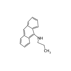 CCCNc1c2ccccc2cc2ccccc12